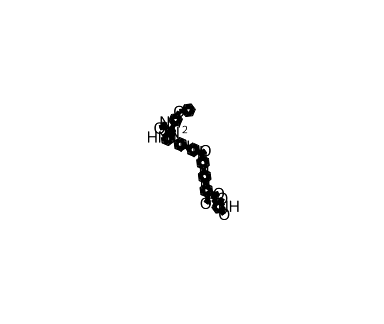 NC(=O)c1c(-c2ccc(Oc3ccccc3)cc2)nn2c1NCC[C@H]2C1CCN(C2CCN(C(=O)N3CCC(N4CCN(c5ccc6c(c5)C(=O)N(C5CCC(=O)NC5=O)C6=O)CC4)CC3)CC2)CC1